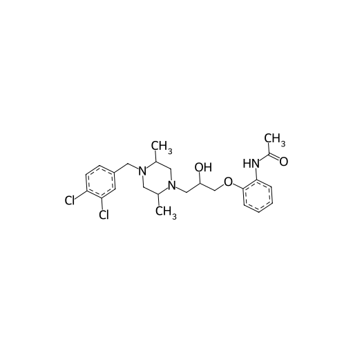 CC(=O)Nc1ccccc1OCC(O)CN1CC(C)N(Cc2ccc(Cl)c(Cl)c2)CC1C